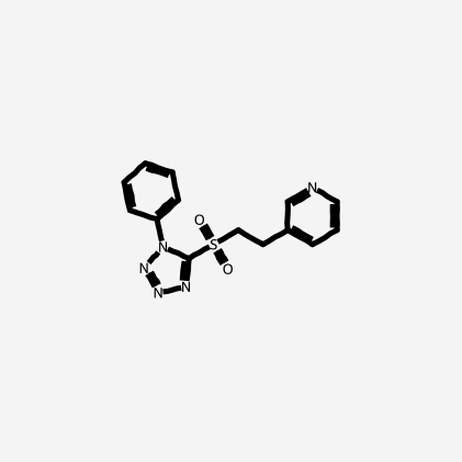 O=S(=O)(CCc1cccnc1)c1nnnn1-c1ccccc1